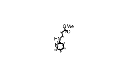 COC(=O)CCNc1ccccn1